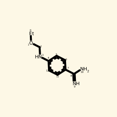 CCOCNc1ccc(C(=N)N)cc1